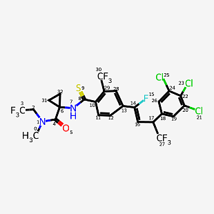 CN(CC(F)(F)F)C(=O)C1(NC(=S)c2ccc(/C(F)=C/C(c3cc(Cl)c(Cl)c(Cl)c3)C(F)(F)F)cc2C(F)(F)F)CC1